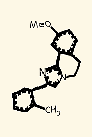 COc1ccc2c(c1)-c1nc(-c3ccccc3C)cn1CC2